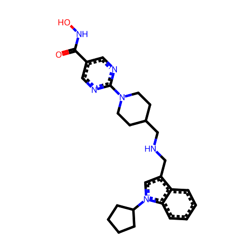 O=C(NO)c1cnc(N2CCC(CNCc3cn(C4CCCC4)c4ccccc34)CC2)nc1